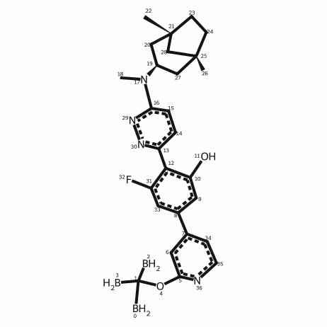 BC(B)(B)Oc1cc(-c2cc(O)c(-c3ccc(N(C)[C@H]4C[C@]5(C)CC[C@](C)(C4)C5)nn3)c(F)c2)ccn1